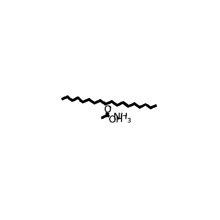 CC(=O)O.CCCCCCCCCCCCCCCCCC.N